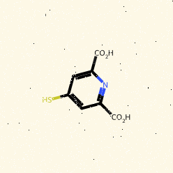 O=C(O)c1cc(S)cc(C(=O)O)n1